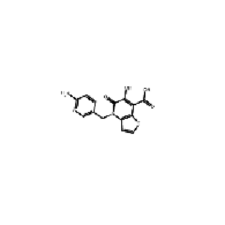 Nc1ccc(Cn2c(=O)c(O)c(C(=O)O)c3sccc32)cn1